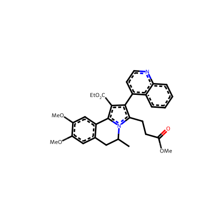 CCOC(=O)c1c(-c2ccnc3ccccc23)c(CCC(=O)OC)n2c1-c1cc(OC)c(OC)cc1CC2C